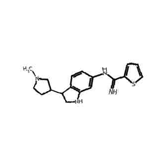 CN1CCC(C2CNc3cc(NC(=N)c4cccs4)ccc32)C1